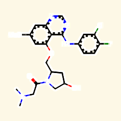 COc1cc(OCC2CC(O)CN2C(=O)CN(C)C)c2c(Nc3ccc(F)c(Cl)c3)ncnc2c1